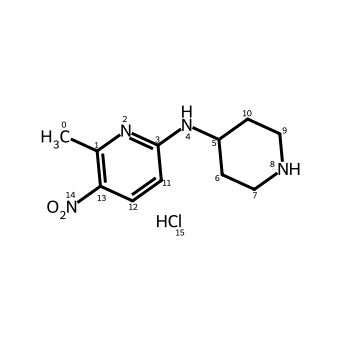 Cc1nc(NC2CCNCC2)ccc1[N+](=O)[O-].Cl